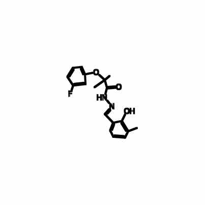 Cc1cccc(C=NNC(=O)C(C)(C)Oc2cccc(F)c2)c1O